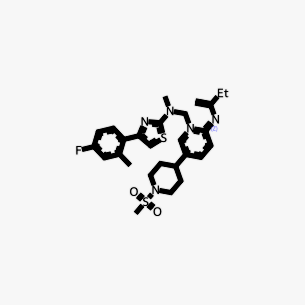 C=C(CC)/N=c1/ccc(C2CCN(S(C)(=O)=O)CC2)cn1CN(C)c1nc(-c2ccc(F)cc2C)cs1